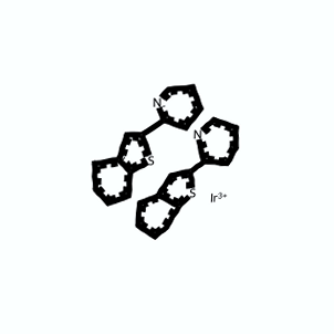 [Ir+3].c1ccc(-c2cc3ccccc3s2)nc1.c1ccc(-c2cc3ccccc3s2)nc1